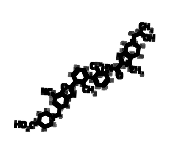 Cc1c(-c2nc3cc(CN4CCC(C(=O)O)CC4)cc(C#N)c3o2)cccc1-c1cccc(NC(=O)c2nc3c(n2C)CCN(C[C@@H](C)O)C3)c1Cl